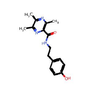 Cc1nc(C)c(C(=O)NCCc2ccc(O)cc2)nc1C